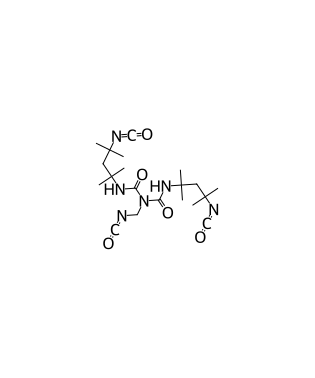 CC(C)(CC(C)(C)NC(=O)N(CN=C=O)C(=O)NC(C)(C)CC(C)(C)N=C=O)N=C=O